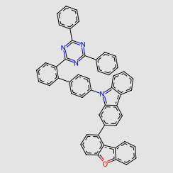 c1ccc(-c2nc(-c3ccccc3)nc(-c3ccccc3-c3ccc(-n4c5ccccc5c5ccc(-c6cccc7oc8ccccc8c67)cc54)cc3)n2)cc1